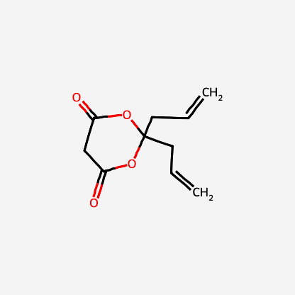 C=CCC1(CC=C)OC(=O)CC(=O)O1